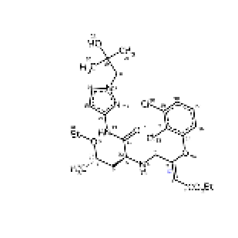 CCOC(=O)/C=C(/CN[C@@H](C[C@H](C)OCC)C(=O)Nc1ccn(CC(C)(C)O)n1)Oc1cccc(Cl)c1Cl